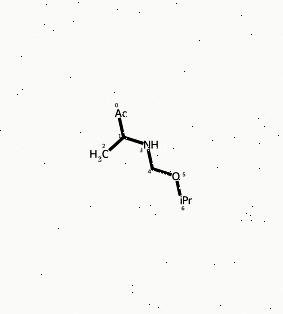 CC(=O)C(C)NCOC(C)C